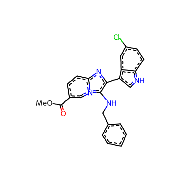 COC(=O)c1ccc2nc(-c3c[nH]c4ccc(Cl)cc34)c(NCc3ccccc3)n2c1